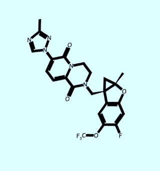 Cc1ncn(-c2ccc3n(c2=O)CCN(C[C@@]24C[C@]2(C)Oc2cc(F)c(OC(F)(F)F)cc24)C3=O)n1